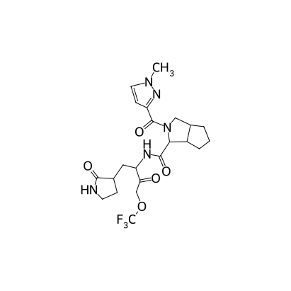 Cn1ccc(C(=O)N2CC3CCCC3C2C(=O)NC(CC2CCNC2=O)C(=O)COC(F)(F)F)n1